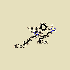 CCCCCCCCCCCCCCCC[N+](C)(C)C.CCCCCCCCCCCCCCCC[N+](C)(C)C.O=C([O-])c1ccccc1C(=O)[O-]